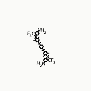 Cc1cc(C(C)(C)c2ccc(C(C)(C)c3cc(C)c(Oc4ccc(N)cc4C(F)(F)F)c(C)c3)cc2)cc(C)c1Oc1ccc(N)cc1C(F)(F)F